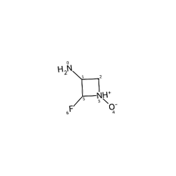 NC1C[NH+]([O-])C1F